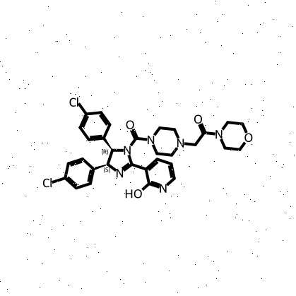 O=C(CN1CCN(C(=O)N2C(c3cccnc3O)=N[C@@H](c3ccc(Cl)cc3)[C@H]2c2ccc(Cl)cc2)CC1)N1CCOCC1